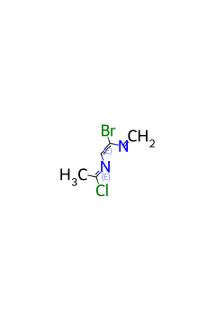 C=N/C(Br)=C\N=C(/C)Cl